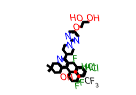 CC1(C)Cc2nc(C3CCN(c4ncc(OC[C@@H](O)CO)cn4)CC3)c(C(F)c3ccc(C(F)(F)F)cc3)c(C3CCC(F)(F)CC3)c2[C@@H](O)C1.Cl.Cl